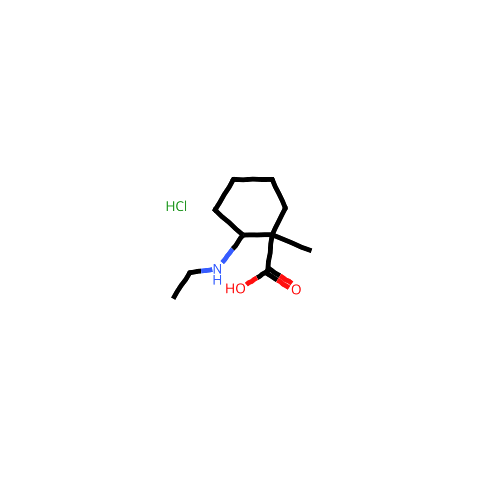 CCNC1CCCCC1(C)C(=O)O.Cl